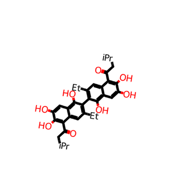 CCc1cc2c(C(=O)CC(C)C)c(O)c(O)cc2c(O)c1-c1c(CC)cc2c(C(=O)CC(C)C)c(O)c(O)cc2c1O